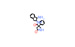 N[C@H]1c2ccccc2C[C@@H]1NC(=O)C1(c2ccccc2)CNC(=O)C1